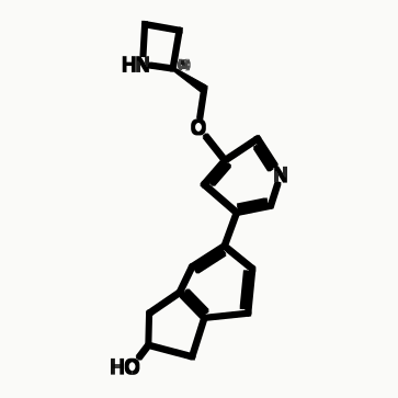 OC1Cc2ccc(-c3cncc(OC[C@@H]4CCN4)c3)cc2C1